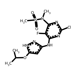 CC(C)Oc1cc(Nc2nc(Cl)nc(N(C)S(C)(=O)=O)c2F)n[nH]1